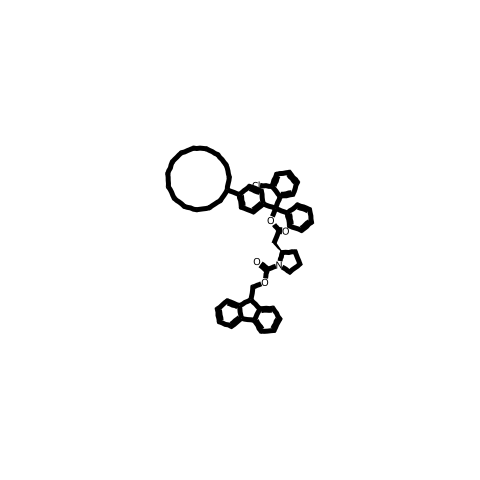 O=C(C[C@H]1CCCN1C(=O)OCC1c2ccccc2-c2ccccc21)OC(c1ccccc1)(c1ccc(C2CCCCCCCCCCCCCC2)cc1)c1ccccc1Cl